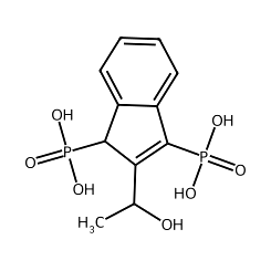 CC(O)C1=C(P(=O)(O)O)c2ccccc2C1P(=O)(O)O